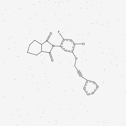 O=C1C2CCCCC2C(=O)N1c1cc(OCC#Cc2ccccc2)c(Cl)cc1F